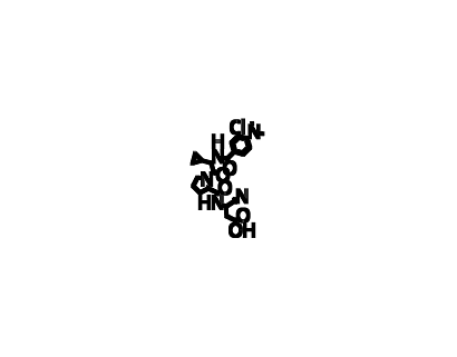 CN(C)c1ccc(C(=O)NC(C(=O)N2CCCC2C(=O)NC(C#N)CC(=O)O)C2CC2)cc1Cl